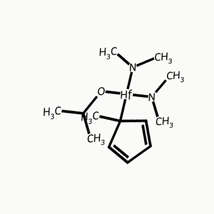 CC(C)[O][Hf]([N](C)C)([N](C)C)[C]1(C)C=CC=C1